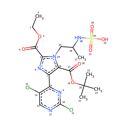 CCOC(=O)c1nc(-c2nc(Cl)ncc2Cl)c(C(=O)OC(C)(C)C)n1CC(C)NS(=O)(=O)O